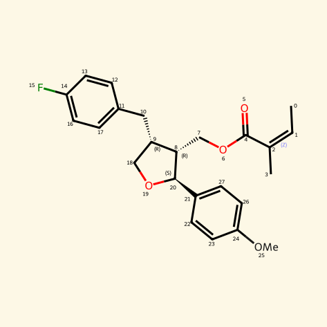 C/C=C(/C)C(=O)OC[C@H]1[C@@H](Cc2ccc(F)cc2)CO[C@@H]1c1ccc(OC)cc1